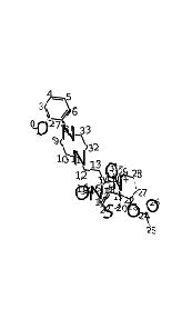 COc1ccccc1N1CCN(CCC2[N+](=O)C3=CC4(CS3)C(OC(C)=O)CCC[N+]24[O-])CC1